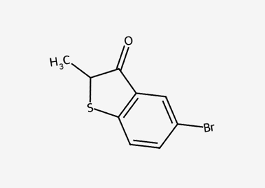 CC1Sc2ccc(Br)cc2C1=O